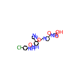 Cn1nccc1-c1cc(NC(=O)Nc2ccc(Cl)cc2)ccc1OCCN1CCCC(C(=O)NCC(=O)O)C1